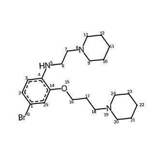 Brc1ccc(NCCN2CCCCC2)c(OCCCN2CCCCC2)c1